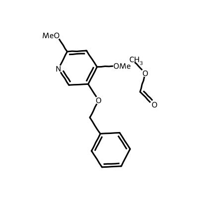 COC=O.COc1cc(OC)c(OCc2ccccc2)cn1